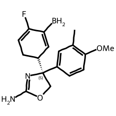 BC1=CC([C@]2(c3ccc(OC)c(C)c3)COC(N)=N2)CC=C1F